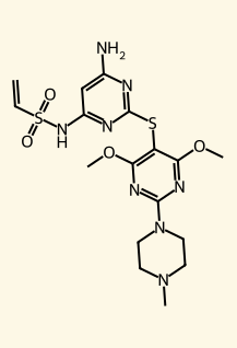 C=CS(=O)(=O)Nc1cc(N)nc(Sc2c(OC)nc(N3CCN(C)CC3)nc2OC)n1